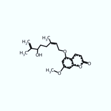 C=C(C)C(O)CCC(C)=CCOc1cc(OC)cc2oc(=O)ccc12